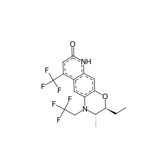 CC[C@@H]1Oc2cc3[nH]c(=O)cc(C(F)(F)F)c3cc2N(CC(F)(F)F)[C@H]1C